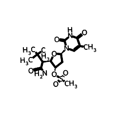 Cc1cn([C@H]2C[C@H](OS(C)(=O)=O)[C@@H](C(C(N)=O)C(C)(C)C)O2)c(=O)[nH]c1=O